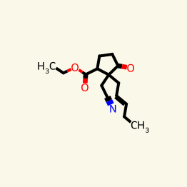 CCC=CCC1(CC#N)C(=O)CCC1C(=O)OCC